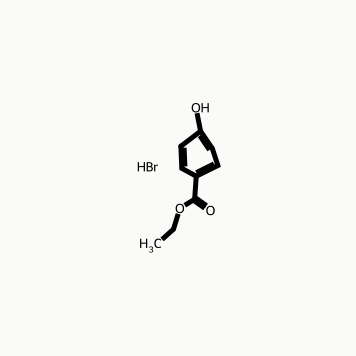 Br.CCOC(=O)c1ccc(O)cc1